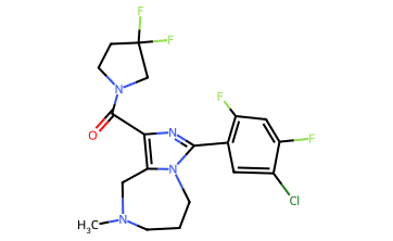 CN1CCCn2c(-c3cc(Cl)c(F)cc3F)nc(C(=O)N3CCC(F)(F)C3)c2C1